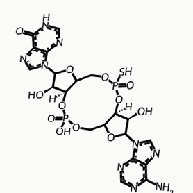 Nc1ncnc2c1ncn2C1OC2COP(=O)(O)O[C@@H]3C(COP(=O)(S)O[C@H]2[C@H]1O)OC(n1cnc2c(=O)[nH]cnc21)[C@@H]3O